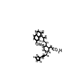 COc1ccc2ncc(F)c(C(F)CCC3CCN(CC#Cc4cccs4)CC3CC(=O)O)c2c1